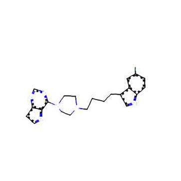 Clc1ccc2[nH]cc(CCCCN3CCN(c4ncnc5cc[nH]c45)CC3)c2c1